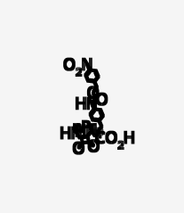 CCCNc1c(N[C@@H](Cc2ccc(NC(=O)OCc3ccc([N+](=O)[O-])cc3)cc2)C(=O)O)c(=O)c1=O